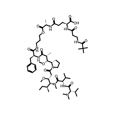 CC[C@H](C)[C@@H]([C@@H](CC(=O)N1CCC[C@H]1[C@H](OC)[C@@H](C)C(=O)N[C@@H](Cc1ccccc1)C(=O)NCCCOC(=O)[C@H](C)NC(=O)CC[C@H](NC(=O)CCNC(=O)C(C)(C)C)C(=O)O)OC)N(C)C(=O)[C@@H](NC(=O)[C@H](C(C)C)N(C)C)C(C)C